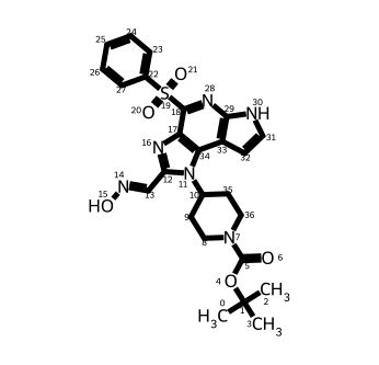 CC(C)(C)OC(=O)N1CCC(n2c(C=NO)nc3c(S(=O)(=O)c4ccccc4)nc4[nH]ccc4c32)CC1